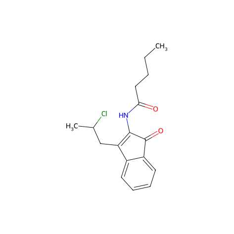 CCCCC(=O)NC1=C(CC(C)Cl)c2ccccc2C1=O